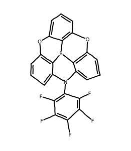 Fc1c(F)c(F)c(N2c3cccc4c3B3c5c(cccc5Oc5cccc2c53)O4)c(F)c1F